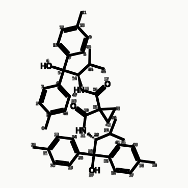 Cc1ccc(C(O)(c2ccc(C)cc2)[C@H](NC(=O)C2(C(=O)N[C@H](C(C)C)C(O)(c3ccc(C)cc3)c3ccc(C)cc3)CC2)C(C)C)cc1